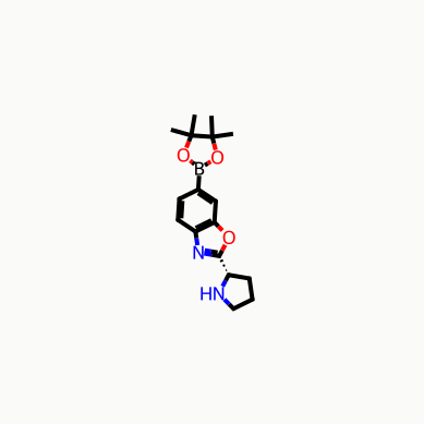 CC1(C)OB(c2ccc3nc([C@@H]4CCCN4)oc3c2)OC1(C)C